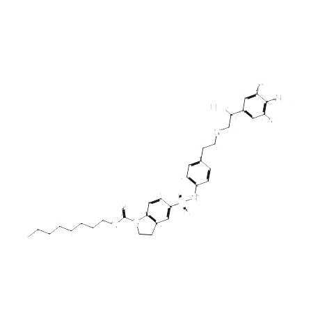 CCCCCCCCNC(=O)N1CCc2cc(S(=O)(=O)Nc3ccc(CCNCC(O)c4cc(Cl)c(N)c(Cl)c4)cc3)ccc21